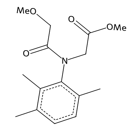 COCC(=O)N(CC(=O)OC)c1c(C)ccc(C)c1C